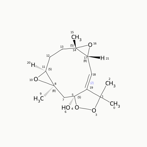 CC1(C)OO[C@@]2(O)C[C@@]3(C)O[C@H]3CC[C@]3(C)O[C@@H]3/C=C/12